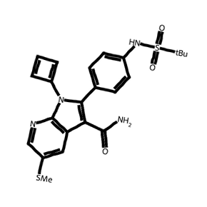 CSc1cnc2c(c1)c(C(N)=O)c(-c1ccc(NS(=O)(=O)C(C)(C)C)cc1)n2C1=CC=C1